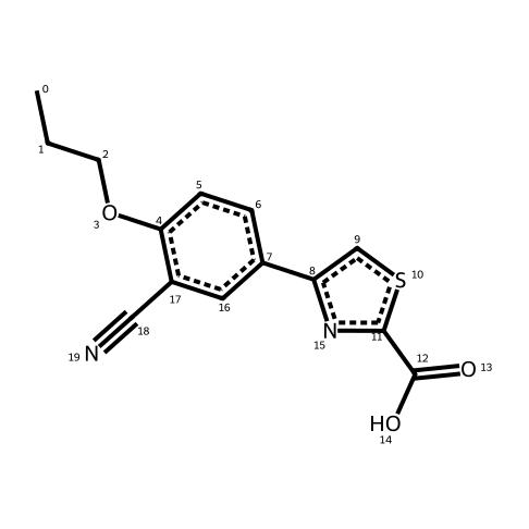 CCCOc1ccc(-c2csc(C(=O)O)n2)cc1C#N